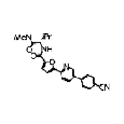 CNC(=O)[C@@H](NC(=O)c1ccc(-c2ccc(-c3ccc(C#N)cc3)cn2)o1)C(C)C